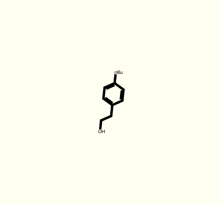 CCCCc1ccc(CCO)cc1